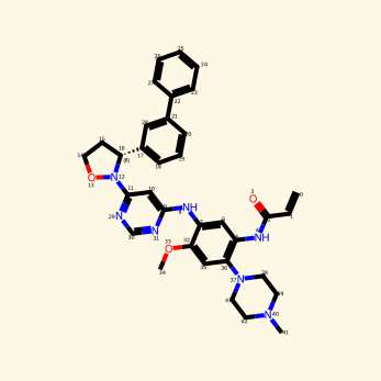 C=CC(=O)Nc1cc(Nc2cc(N3OCC[C@@H]3c3cccc(-c4ccccc4)c3)ncn2)c(OC)cc1N1CCN(C)CC1